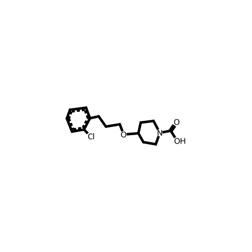 O=C(O)N1CCC(OCCCc2ccccc2Cl)CC1